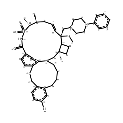 CO[C@@]1(CN2CCN(c3cncnc3)CC2)/C=C/C[C@H](C)[C@@H](C)S(=O)(=O)NC(=O)c2ccc3c(c2)N(CCCCc2cc(Cl)ccc2CO3)C[C@@H]2CCC21